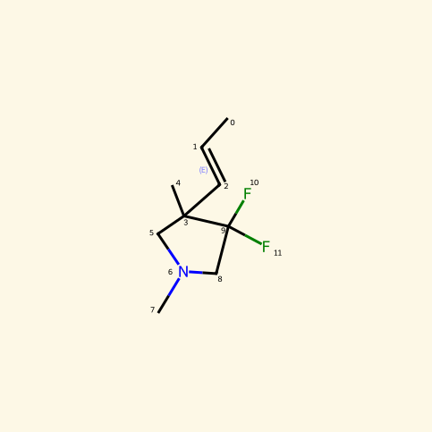 C/C=C/C1(C)CN(C)CC1(F)F